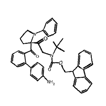 CC(C)(C)N(CC(=O)[C@@]1(C(=O)c2ccccc2-c2ccc(N)cc2)CCCN1c1ccccc1)C(=O)OCC1c2ccccc2-c2ccccc21